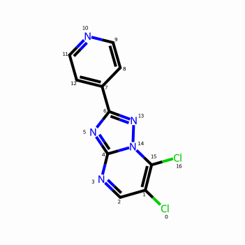 Clc1cnc2nc(-c3ccncc3)nn2c1Cl